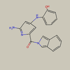 Nc1cc(Nc2ccccc2O)cc(C(=O)n2cc3ccccc3c2)n1